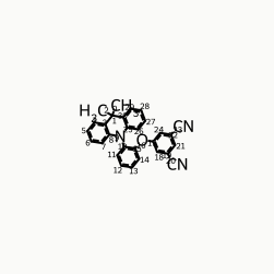 CC1(C)c2ccccc2N(c2ccccc2Oc2cc(C#N)cc(C#N)c2)c2ccccc21